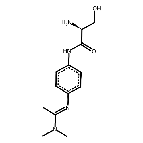 C/C(=N\c1ccc(NC(=O)[C@@H](N)CO)cc1)N(C)C